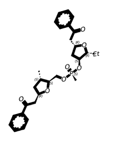 CC[C@H]1O[C@@H](CC(=O)c2ccccc2)C[C@@H]1O[P@@](C)(=O)OC[C@H]1O[C@@H](CC(=O)c2ccccc2)C[C@@H]1C